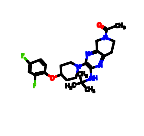 CC(=O)N1CCc2nc(NC(C)(C)C)c(N3CCC(Oc4ccc(F)cc4F)CC3)nc2C1